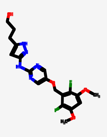 COc1cc(OC)c(F)c(COc2cnc(Nc3cc(CCCO)[nH]n3)nc2)c1F